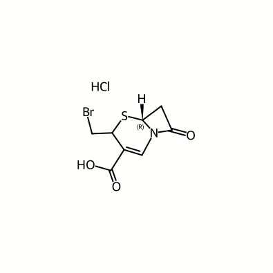 Cl.O=C(O)C1=CN2C(=O)C[C@H]2SC1CBr